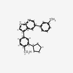 Cc1cccc(-c2cnc3occ(-c4ccc(C(=O)O)c(C5CCCC5)c4)c3c2)c1